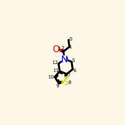 CCC(=O)N1CCc2sccc2C1